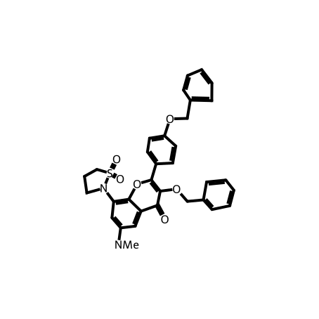 CNc1cc(N2CCCS2(=O)=O)c2oc(-c3ccc(OCc4ccccc4)cc3)c(OCc3ccccc3)c(=O)c2c1